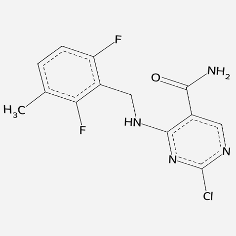 Cc1ccc(F)c(CNc2nc(Cl)ncc2C(N)=O)c1F